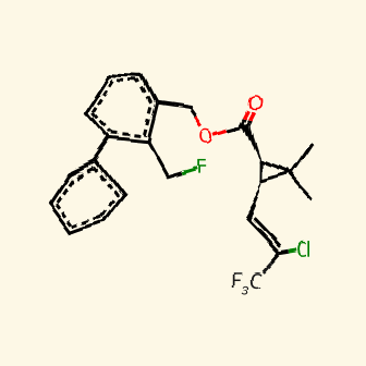 CC1(C)[C@H](C(=O)OCc2cccc(-c3ccccc3)c2CF)[C@@H]1/C=C(\Cl)C(F)(F)F